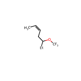 C/C=C\CC(CC)OC(F)(F)F